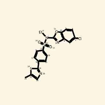 CCN(c1nc2cc(Cl)ccc2o1)S(=O)(=O)c1ccc(-c2ncc(C)s2)cc1